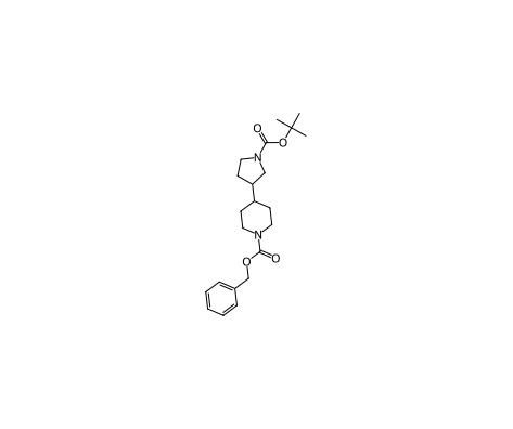 CC(C)(C)OC(=O)N1CCC(C2CCN(C(=O)OCc3ccccc3)CC2)C1